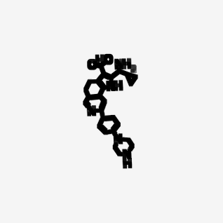 NC(c1[nH]c2c(c1C(=O)O)CCc1cnc(-c3ccc(N4CCNCC4)cc3)cc1-2)C1CC1